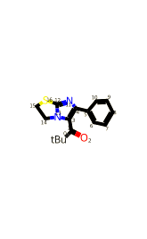 CC(C)(C)C(=O)c1c(-c2ccccc2)nc2n1CCS2